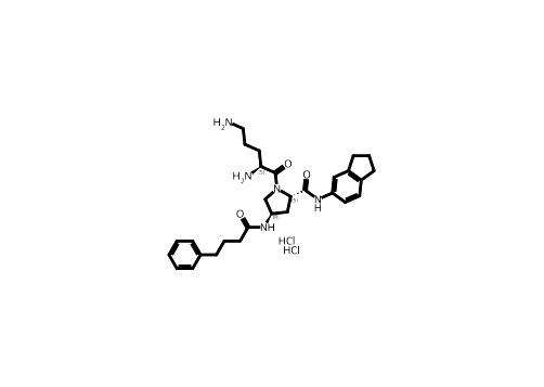 Cl.Cl.NCCC[C@H](N)C(=O)N1C[C@H](NC(=O)CCCc2ccccc2)C[C@H]1C(=O)Nc1ccc2c(c1)CCC2